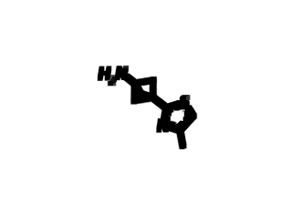 Cc1csc(C23CC(N)(C2)C3)n1